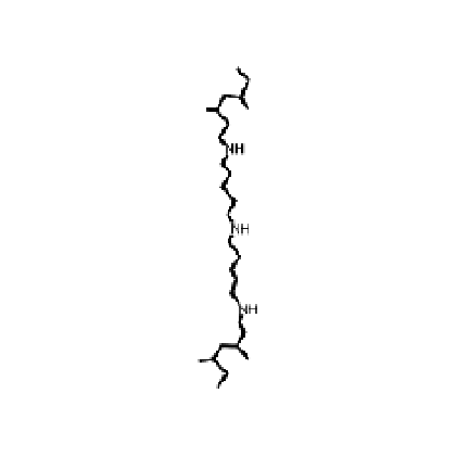 CCC(C)CC(C)CCNCCCCCNCCCCCNCCC(C)CC(C)CC